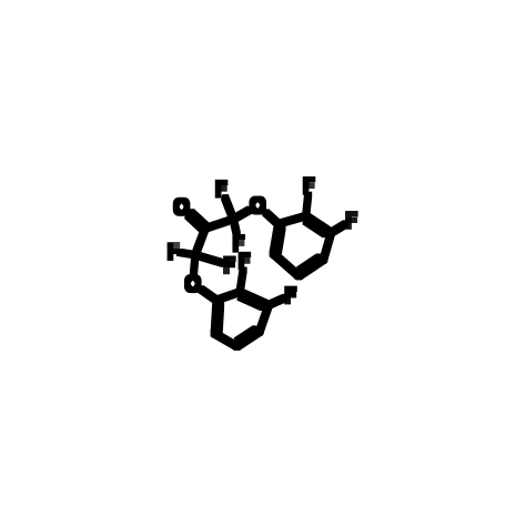 O=C(C(F)(F)Oc1cccc(F)c1F)C(F)(F)Oc1cccc(F)c1F